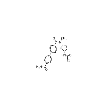 CCC(=O)N[C@H]1CC[C@@H](N(C)C(=O)c2ccc(-c3ccc(C(N)=O)cc3)cc2)C1